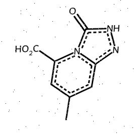 Cc1cc(C(=O)O)n2c(=O)[nH]nc2c1